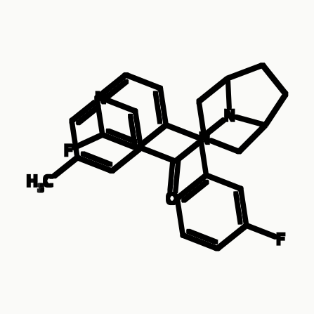 Cc1cncc(C(=O)N2CC3CCC(C2)N3C(c2cccc(F)c2)c2cccc(F)c2)c1